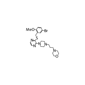 COc1ccc(Br)cc1CSc1nccnc1N1CCN(CCCN2CCOCC2)CC1